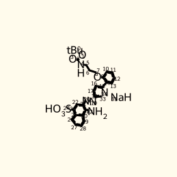 CC(C)(C)OC(=O)NCCCOc1ccccc1-c1ccc(N=Nc2cc(S(=O)(=O)O)c3ccccc3c2N)cn1.[NaH]